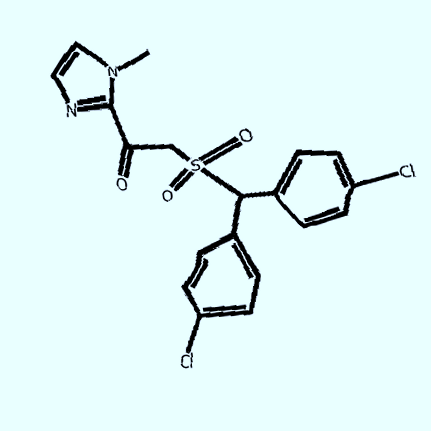 Cn1ccnc1C(=O)CS(=O)(=O)C(c1ccc(Cl)cc1)c1ccc(Cl)cc1